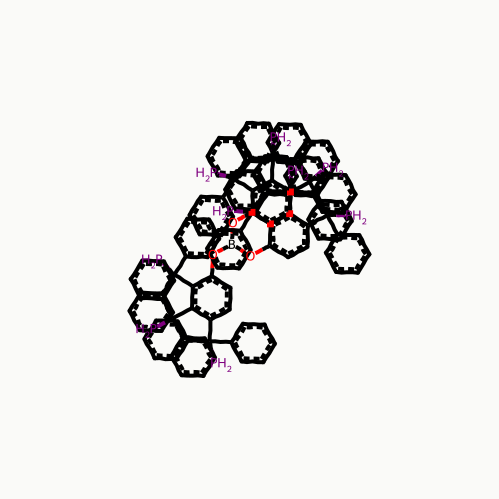 PC(c1ccccc1)(c1ccccc1)c1ccc(OB(Oc2ccc(C(P)(c3ccccc3)c3ccccc3)c(C(P)(c3ccccc3)c3ccccc3)c2C(P)(c2ccccc2)c2ccccc2)Oc2ccc(C(P)(c3ccccc3)c3ccccc3)c(C(P)(c3ccccc3)c3ccccc3)c2C(P)(c2ccccc2)c2ccccc2)c(C(P)(c2ccccc2)c2ccccc2)c1C(P)(c1ccccc1)c1ccccc1